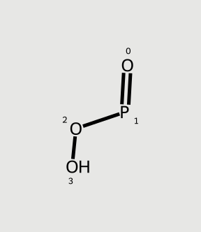 O=POO